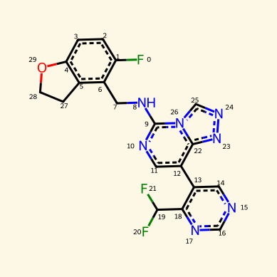 Fc1ccc2c(c1CNc1ncc(-c3cncnc3C(F)F)c3nncn13)CCO2